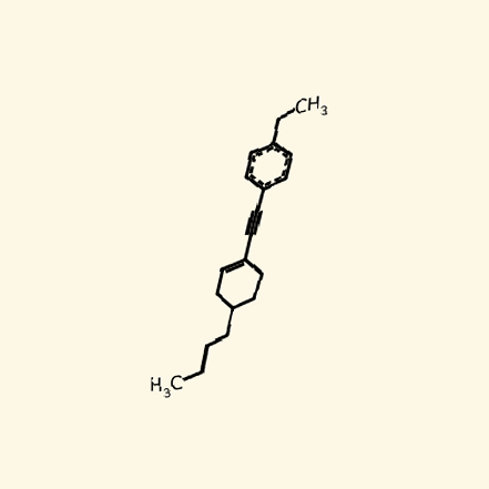 CCCCC1CC=C(C#Cc2ccc(CC)cc2)CC1